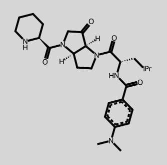 CC(C)C[C@H](NC(=O)c1ccc(N(C)C)cc1)C(=O)N1CC[C@@H]2[C@H]1C(=O)CN2C(=O)[C@@H]1CCCCN1